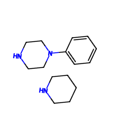 C1CCNCC1.c1ccc(N2CCNCC2)cc1